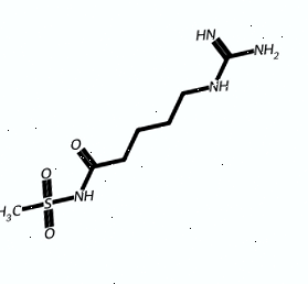 CS(=O)(=O)NC(=O)CCCCNC(=N)N